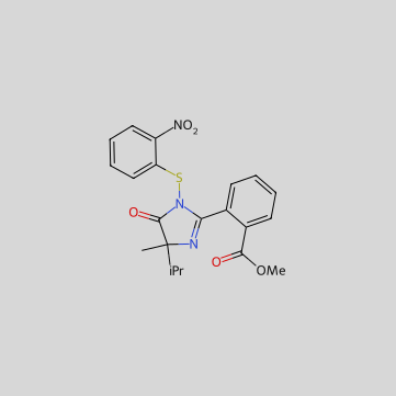 COC(=O)c1ccccc1C1=NC(C)(C(C)C)C(=O)N1Sc1ccccc1[N+](=O)[O-]